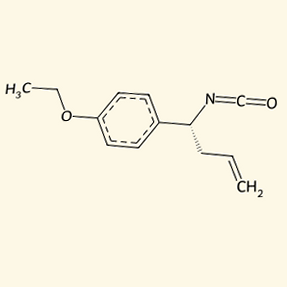 C=CC[C@@H](N=C=O)c1ccc(OCC)cc1